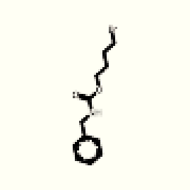 O=C(NCc1ccccc1)OCCCCBr